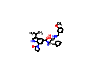 COc1cccc(CNC[C@@H](O)[C@H](Cc2ccccc2)NC(=O)c2cc(N3CCCC3=O)c3[nH]cc(C(C)C)c3c2)c1